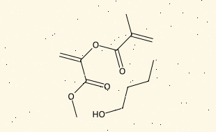 C=C(C)C(=O)OC(=C)C(=O)OC.[CH2]CCCO